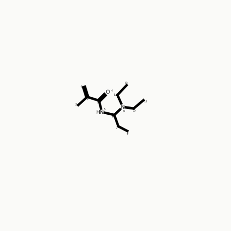 C=C(C)C(=O)NC(CC)N(CC)CC